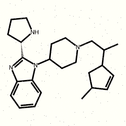 CC1C=CC(C(C)CN2CCC(n3c([C@@H]4CCCN4)nc4ccccc43)CC2)C1